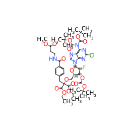 CCOC(=O)C(Cc1ccc(C(=O)NCCC(=O)OC)cc1)(OC[C@H]1O[C@@H](n2cnc3c(N(C(=O)OC(C)(C)C)C(=O)OC(C)(C)C)nc(Cl)nc32)[C@@H](F)[C@@H]1OC(=O)OC(C)(C)C)C(=O)OCC